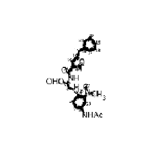 CC(=O)Nc1ccc(OC[C@@H](C=O)NC(=O)c2cc(Cc3ccccc3)on2)c(N(C)C)c1